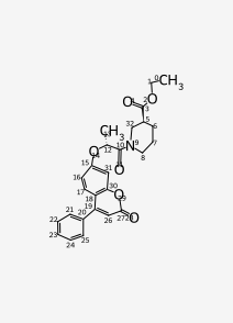 CCOC(=O)[C@H]1CCCN(C(=O)[C@@H](C)Oc2ccc3c(-c4ccccc4)cc(=O)oc3c2)C1